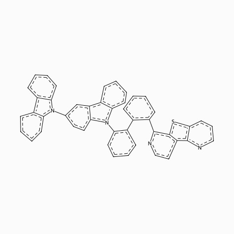 c1ccc(-c2nccc3c2sc2cccnc23)c(-c2ccccc2-n2c3ccccc3c3cc(-n4c5ccccc5c5ccccc54)ccc32)c1